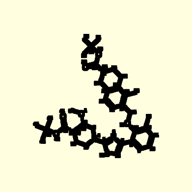 CO[C@@H]1CN(c2nc(-c3cccc(C)c3OCc3ccc4c(c3C)CCN(C(=O)OC(C)(C)C)C4)cs2)CC[C@@H]1C(=O)OC(C)(C)C